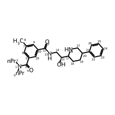 CCCN(CCC)C(=O)c1cc(C)cc(C(=O)NC[C@H](O)C2CCC(c3ccccc3)CN2)c1